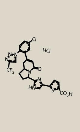 Cl.O=C(O)c1ccc(-c2c[nH]c(C3CCC4CC(c5cc(Cl)ccc5-n5cc(C(F)(F)F)nn5)=CC(=O)N43)n2)s1